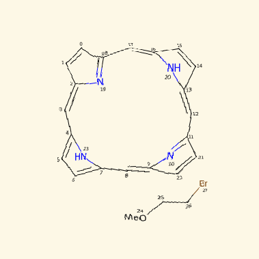 C1=Cc2cc3ccc(cc4nc(cc5ccc(cc1n2)[nH]5)C=C4)[nH]3.COCCBr